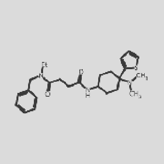 CCN(Cc1ccccc1)C(=O)CCC(=O)NC1CCC(c2cccs2)(N(C)C)CC1